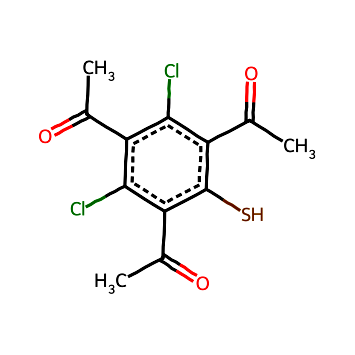 CC(=O)c1c(S)c(C(C)=O)c(Cl)c(C(C)=O)c1Cl